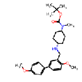 COc1ccc(-c2ccc(OC)c(CN[C@H]3CC[C@H](N(C)C(=O)OC(C)(C)C)CC3)c2)cc1